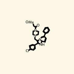 COCC(=O)N1CCN(CC2=C(c3ccc(Cl)cc3)NC3C=CC(c4ccccc4)=CN23)CC1